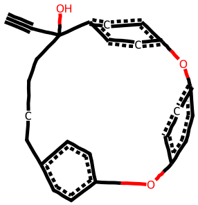 C#CC1(O)CCCCc2ccc(cc2)Oc2ccc(cc2)Oc2ccc1cc2